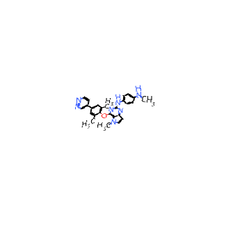 CNc1ccc(Nc2nc(Oc3c(C)cc(-c4ccnnc4)cc3C)c3c(ccn3C)n2)cc1